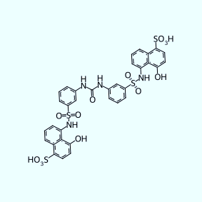 O=C(Nc1cccc(S(=O)(=O)Nc2cccc3c(S(=O)(=O)O)ccc(O)c23)c1)Nc1cccc(S(=O)(=O)Nc2cccc3c(S(=O)(=O)O)ccc(O)c23)c1